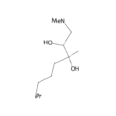 CNCC(O)C(C)(O)CCCC(C)C